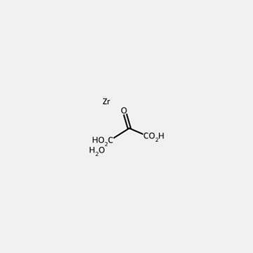 O.O=C(O)C(=O)C(=O)O.[Zr]